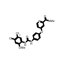 CNC(=O)c1cc(Oc2ccc(NC(=O)Nc3cc(C(F)(F)F)c(Cl)cc3OC)cc2)ccn1